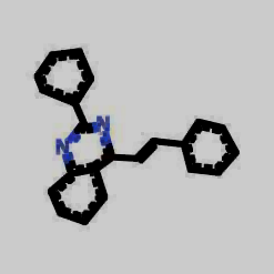 C(=C\c1nc(-c2ccccc2)nc2ccccc12)/c1ccccc1